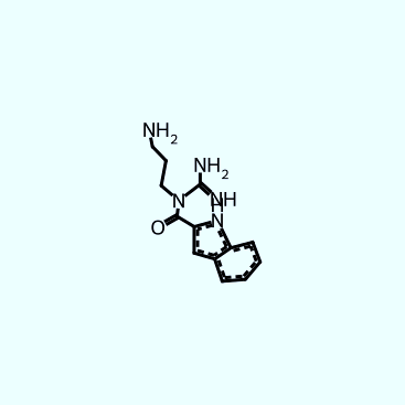 N=C(N)N(CCCN)C(=O)c1cc2ccccc2[nH]1